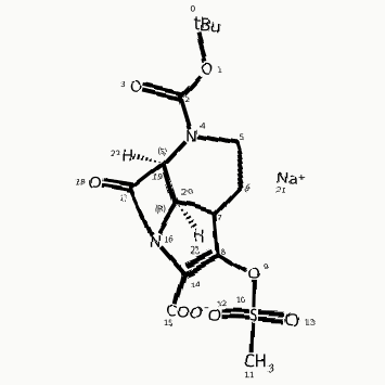 CC(C)(C)OC(=O)N1CCC2C(OS(C)(=O)=O)=C(C(=O)[O-])N3C(=O)[C@@H]1[C@@H]23.[Na+]